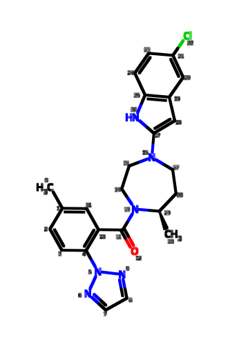 Cc1ccc(-n2nccn2)c(C(=O)N2CCN(c3cc4cc(Cl)ccc4[nH]3)CC[C@H]2C)c1